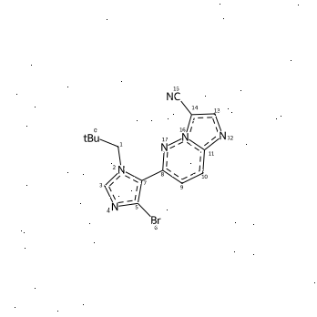 CC(C)(C)Cn1cnc(Br)c1-c1ccc2ncc(C#N)n2n1